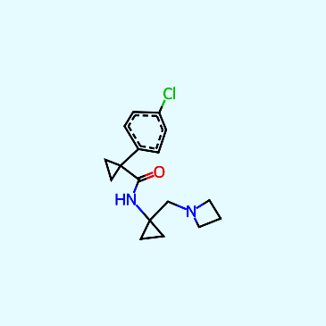 O=C(NC1(CN2CCC2)CC1)C1(c2ccc(Cl)cc2)CC1